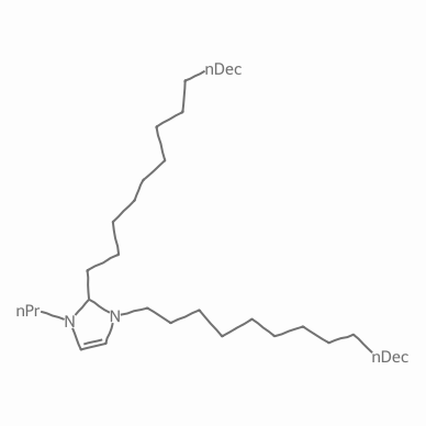 CCCCCCCCCCCCCCCCCCCC1N(CCC)C=CN1CCCCCCCCCCCCCCCCCCC